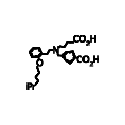 CC(C)CCCCOc1ccccc1CCN(CCCCC(=O)O)Cc1ccc(C(=O)O)cc1